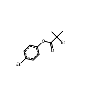 CCc1ccc(OC(=O)C(C)(C)CC)cc1